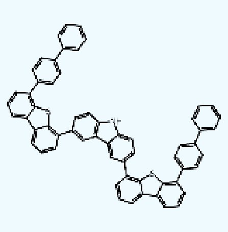 c1ccc(-c2ccc(-c3cccc4c3sc3c(-c5ccc6[nH]c7ccc(-c8cccc9c8sc8c(-c%10ccc(-c%11ccccc%11)cc%10)cccc89)cc7c6c5)cccc34)cc2)cc1